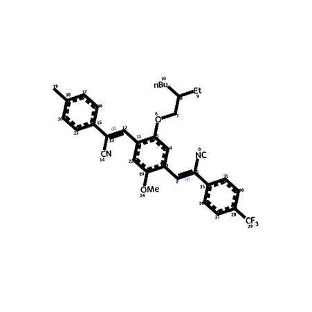 [C-]#[N+]/C(=C\c1cc(OCC(CC)CCCC)c(/C=C(\C#N)c2ccc(C)cc2)cc1OC)c1ccc(C(F)(F)F)cc1